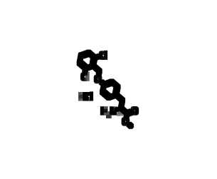 COC(=O)[C@@H](N)Cc1ccc(OCc2c(Cl)cccc2Cl)cc1.Cl